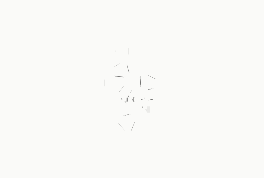 Cc1ccc(-c2c(-c3ccccc3S(N)(=O)=O)nn(Cc3ccccc3)c2C(F)F)cc1